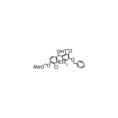 COCOc1ccc(C(O)c2c(C)cc(OCc3ccccc3)c3c2CCO3)nc1Cl